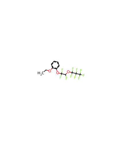 [CH2]COc1ccccc1OC(F)(F)C(F)OC(F)(F)C(F)(F)C(F)(F)F